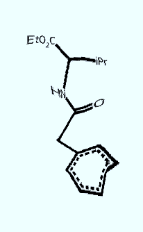 CCOC(=O)C(NC(=O)Cc1ccccc1)C(C)C